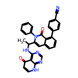 CC(Nc1ncnc2[nH]ccc(=O)c12)c1cc2cccc(-c3ccc(C#N)cc3)c2c(=O)n1-c1ccccc1